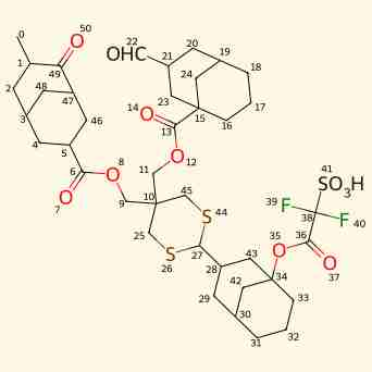 CC1CC2CC(C(=O)OCC3(COC(=O)C45CCCC(CC(C=O)C4)C5)CSC(C4CC5CCCC(OC(=O)C(F)(F)S(=O)(=O)O)(C5)C4)SC3)CC(C2)C1=O